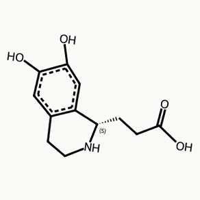 O=C(O)CC[C@@H]1NCCc2cc(O)c(O)cc21